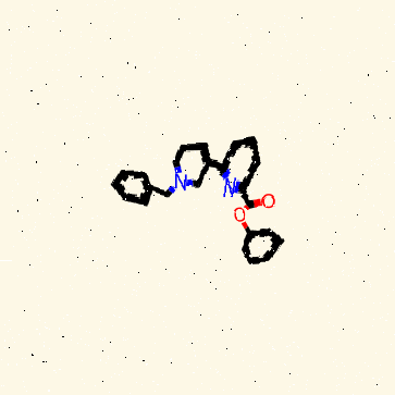 O=C(Oc1ccccc1)c1cccc(C2=CCCN(Cc3ccccc3)C2)n1